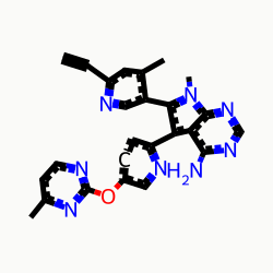 C#Cc1cc(C)c(-c2c(-c3ccc(Oc4nccc(C)n4)cn3)c3c(N)ncnc3n2C)cn1